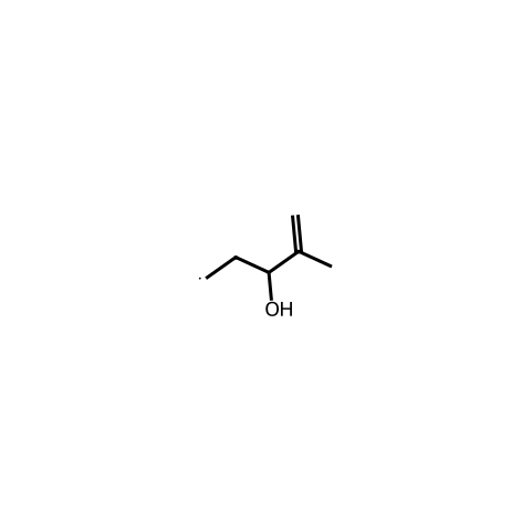 [CH2]CC(O)C(=C)C